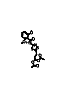 COc1cccc(OC)c1C(=O)Nc1nnc(CCC(OC(C)=O)OC(C)=O)s1